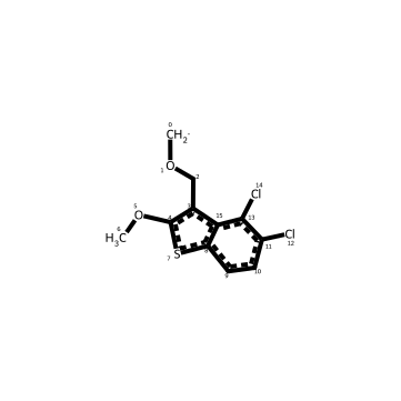 [CH2]OCc1c(OC)sc2ccc(Cl)c(Cl)c12